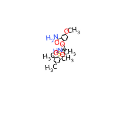 COc1ccc(OC[C@H](C)NS(=O)(=O)c2c(C)cc(C)cc2C)c(C(N)=O)c1